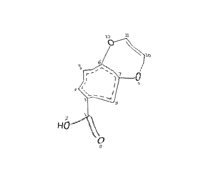 O=C(O)c1ccc2c(c1)OC=CO2